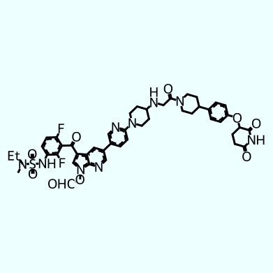 CCN(C)S(=O)(=O)Nc1ccc(F)c(C(=O)c2cn(OC=O)c3ncc(-c4ccc(N5CCC(NCC(=O)N6CCC(c7ccc(OC8CCC(=O)NC8=O)cc7)CC6)CC5)nc4)cc23)c1F